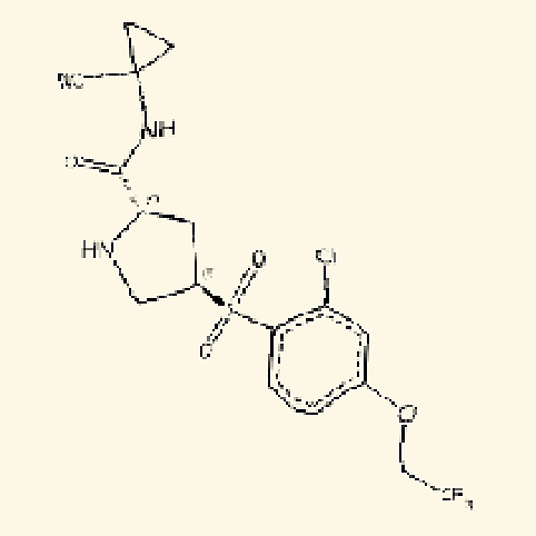 N#CC1(NC(=O)[C@@H]2C[C@@H](S(=O)(=O)c3ccc(OCC(F)(F)F)cc3Cl)CN2)CC1